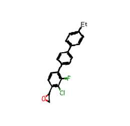 CCc1ccc(-c2ccc(-c3ccc(C4CO4)c(Cl)c3F)cc2)cc1